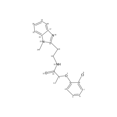 CC(Oc1ccccc1Cl)C(=O)NCCc1nc2ccccc2n1C